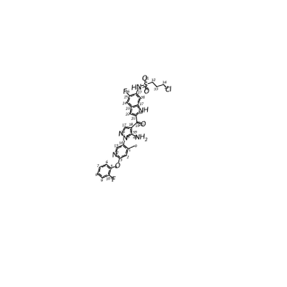 Cc1cc(Oc2ccccc2F)ncc1-n1ncc(C(=O)c2cc3cc(F)c(NS(=O)(=O)CCCCl)cc3[nH]2)c1N